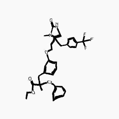 CCOC(=O)C(C)(Cc1cccc(OCCC2(Cc3ccc(C(F)(F)F)cc3)CNC(=O)N2C)c1)Oc1ccccc1